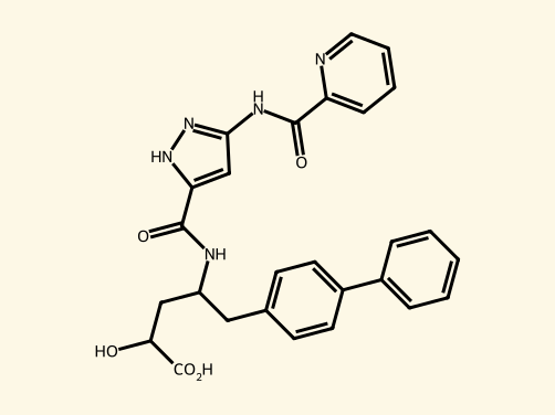 O=C(Nc1cc(C(=O)NC(Cc2ccc(-c3ccccc3)cc2)CC(O)C(=O)O)[nH]n1)c1ccccn1